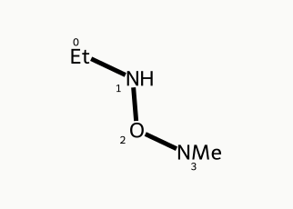 CCNONC